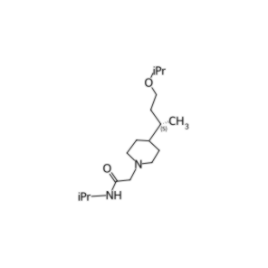 CC(C)NC(=O)CN1CCC([C@@H](C)CCOC(C)C)CC1